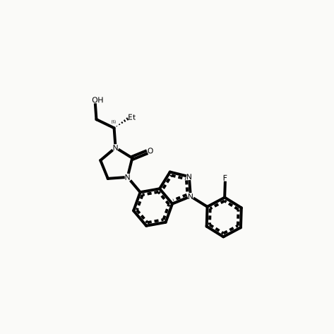 CC[C@@H](CO)N1CCN(c2cccc3c2cnn3-c2ccccc2F)C1=O